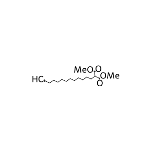 C#CCCCCCCCCCCCC(C(=O)OC)C(=O)OC